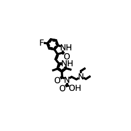 CCN(CC)CCN(C(=O)O)C(=O)c1c(C)[nH]c(C=C2C(=O)Nc3ccc(F)cc32)c1C